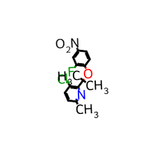 Cc1ccc(Cl)c(C(C)(C)Oc2ccc([N+](=O)[O-])cc2F)n1